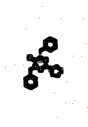 O=C(OCc1ccccc1)[C@H](Cc1ccccc1)OC(=O)N1CCSC1